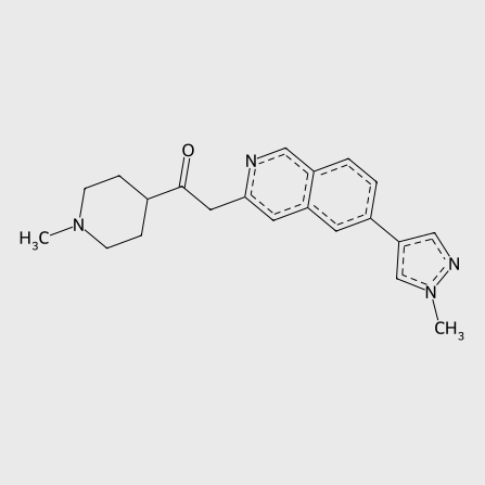 CN1CCC(C(=O)Cc2cc3cc(-c4cnn(C)c4)ccc3cn2)CC1